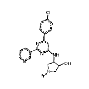 CC(C)N1CC(O)C(Nc2cc(-c3ccc(Cl)cc3)nc(-c3cccnc3)n2)C1